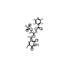 Cc1cn([C@@H](C)O[C@H](COC(=O)c2ccccc2)COS(C)(=O)=O)c(=O)[nH]c1=O